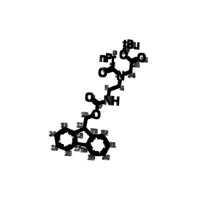 CCCC(=O)N(CCNC(=O)OCC1c2ccccc2-c2ccccc21)CC(=O)OC(C)(C)C